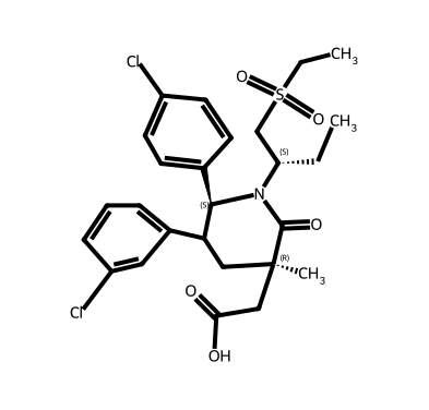 CC[C@@H](CS(=O)(=O)CC)N1C(=O)[C@@](C)(CC(=O)O)CC(c2cccc(Cl)c2)[C@H]1c1ccc(Cl)cc1